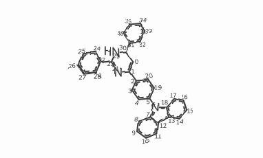 C1=C(c2ccc(-n3c4ccccc4c4ccccc43)cc2)N=C(c2ccccc2)N[C@H]1c1ccccc1